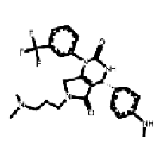 CNc1ccc([C@H]2NC(=O)N(c3cccc(C(F)(F)F)c3)C3=C2C(=O)N(CCCN(C)C)C3)cc1